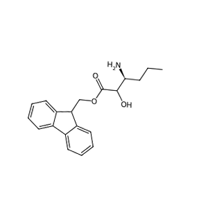 CCC[C@H](N)C(O)C(=O)OCC1c2ccccc2-c2ccccc21